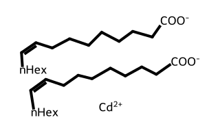 CCCCCC/C=C\CCCCCCCC(=O)[O-].CCCCCC/C=C\CCCCCCCC(=O)[O-].[Cd+2]